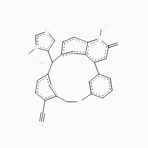 Cn1cncc1[C@]1(N)c2ccc(C#N)c(c2)COc2cccc(c2)-c2cc(=O)n(C)c3ccc1cc23